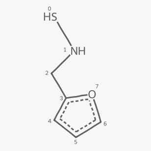 SNCc1ccco1